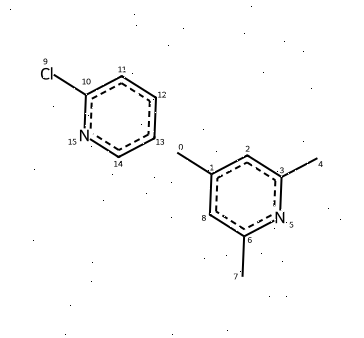 Cc1cc(C)nc(C)c1.Clc1ccccn1